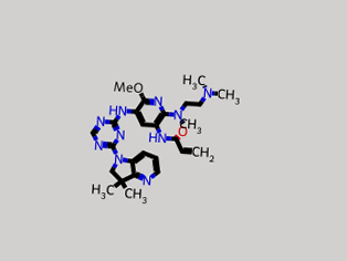 C=CC(=O)Nc1cc(Nc2ncnc(N3CC(C)(C)c4ncccc43)n2)c(OC)nc1N(C)CCN(C)C